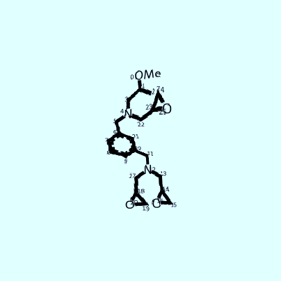 COC(C)CN(Cc1cccc(CN(CC2CO2)CC2CO2)c1)CC1CO1